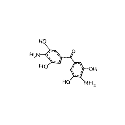 Nc1c(O)cc(C(=O)c2cc(O)c(N)c(O)c2)cc1O